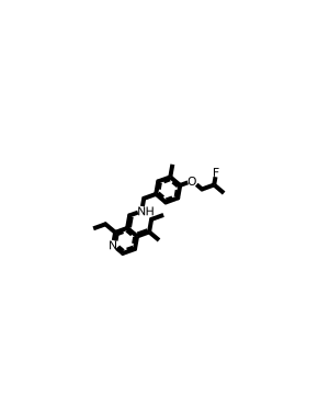 CC/C(C)=c1/ccnc(CC)/c1=C/NCc1ccc(OCC(C)F)c(C)c1